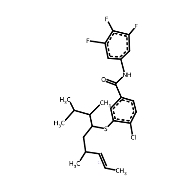 C/C=C/C(C)CC(Sc1cc(C(=O)Nc2cc(F)c(F)c(F)c2)ccc1Cl)C(C)C(C)C